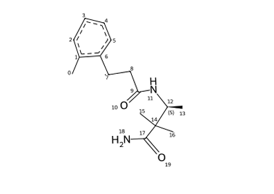 Cc1ccccc1[CH]CC(=O)N[C@@H](C)C(C)(C)C(N)=O